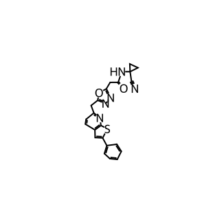 N#CC1(NC(=O)Cc2nnc(Cc3ccc4cc(-c5ccccc5)sc4n3)o2)CC1